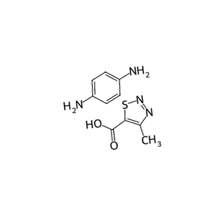 Cc1nnsc1C(=O)O.Nc1ccc(N)cc1